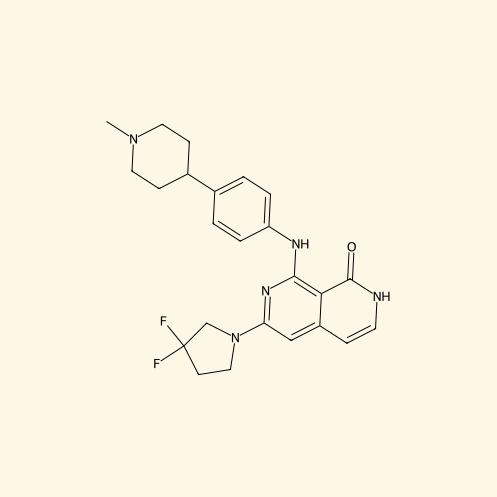 CN1CCC(c2ccc(Nc3nc(N4CCC(F)(F)C4)cc4cc[nH]c(=O)c34)cc2)CC1